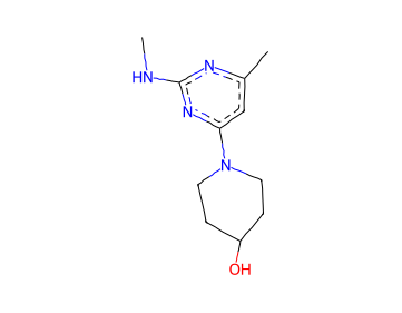 CNc1nc(C)cc(N2CCC(O)CC2)n1